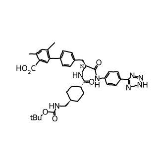 Cc1cc(C)c(-c2ccc(C[C@H](NC(=O)[C@H]3CC[C@H](CNC(=O)OC(C)(C)C)CC3)C(=O)Nc3ccc(-c4nn[nH]n4)cc3)cc2)cc1C(=O)O